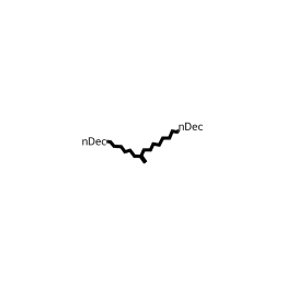 C=C(CCCCCCCCCCCCCCCC)CCCCCCCCCCCCCCCCCC